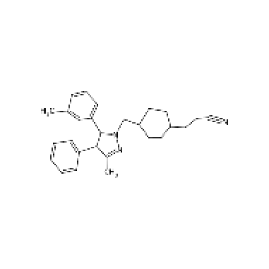 CC1=NN(CC2CCC(CCC#N)CC2)C(c2cccc(C)c2)C1c1ccccc1